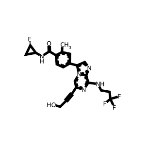 Cc1cc(-c2cnc3c(NCCC(F)(F)F)nc(C#CCO)cn23)ccc1C(=O)NC1C[C@@H]1F